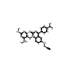 C#CCOc1ccc2c(c1)c(-c1ccc(C(C)C)cc1)nc(=O)n2Cc1cnc(SC)nc1NC